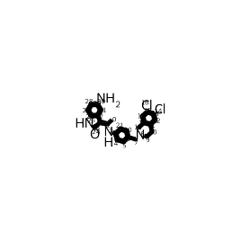 CC(Nc1ccc(CN2CCc3cc(Cl)c(Cl)cc3C2)cc1)=C1C(=O)Nc2ccc(N)cc21